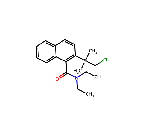 CCN(CC)C(=O)c1c([Si](C)(C)CCl)ccc2ccccc12